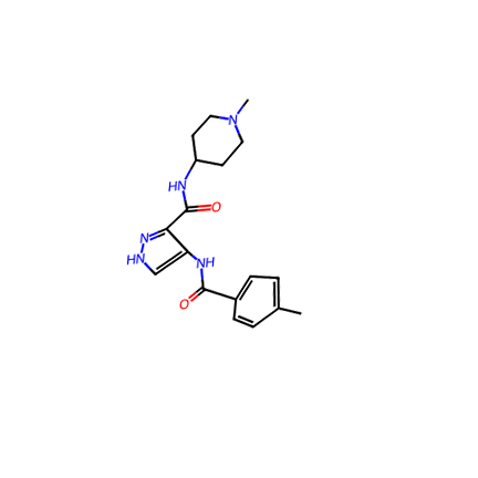 Cc1ccc(C(=O)Nc2c[nH]nc2C(=O)NC2CCN(C)CC2)cc1